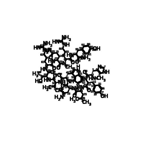 CN[C@@H](Cc1c[nH]cn1)C(=O)N[C@@H](Cc1ccc(O)cc1)C(=O)N[C@@H](CC(C)C)C(=O)N[C@@H](CC(N)=O)C(=O)N[C@@H](Cc1c[nH]c2ccccc12)C(=O)N[C@H](C(=O)N[C@H](C(=O)N[C@@H](CCCNC(=N)N)C(=O)N[C@@H](CCC(N)=O)C(=O)N(C)[C@@H](CCCNC(=N)N)C(=O)N[C@@H](Cc1ccc(O)cc1)C(N)=O)[C@@H](C)O)C(C)C